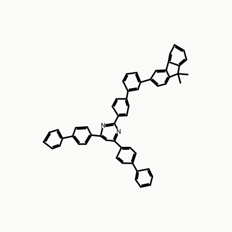 CC1(C)c2ccccc2-c2cc(-c3cccc(-c4ccc(-c5nc(-c6ccc(-c7ccccc7)cc6)cc(-c6ccc(-c7ccccc7)cc6)n5)cc4)c3)ccc21